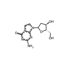 Nc1nc(=O)n2ccn(C3C[C@@H](O)[C@H](CO)O3)c2n1